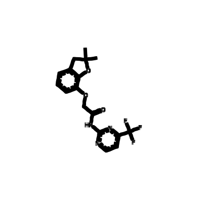 CC1(C)Cc2cccc(OCC(=O)Nc3nccc(C(F)(F)F)n3)c2O1